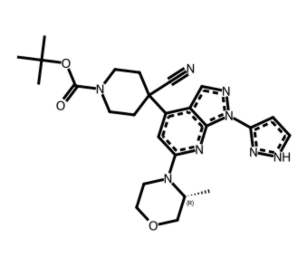 C[C@@H]1COCCN1c1cc(C2(C#N)CCN(C(=O)OC(C)(C)C)CC2)c2cnn(-c3cc[nH]n3)c2n1